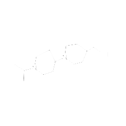 CC(C)N1CCC(N2CCC(CO)CC2)CC1